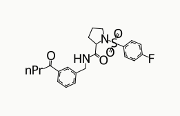 CCCC(=O)c1cccc(CNC(=O)C2CCCN2S(=O)(=O)c2ccc(F)cc2)c1